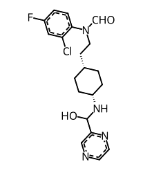 O=CN(CC[C@H]1CC[C@@H](NC(O)c2cnccn2)CC1)c1ccc(F)cc1Cl